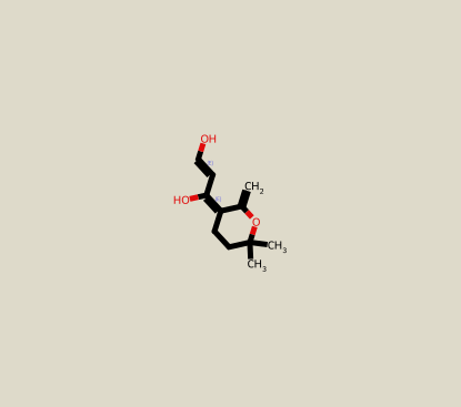 C=C1OC(C)(C)CC/C1=C(O)/C=C/O